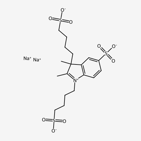 CC1=[N+](CCCCS(=O)(=O)[O-])c2ccc(S(=O)(=O)[O-])cc2C1(C)CCCCS(=O)(=O)[O-].[Na+].[Na+]